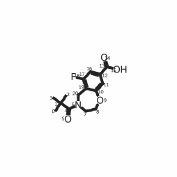 CC(C)(C)C(=O)N1CCOc2cc(C(=O)O)cc(F)c2C1